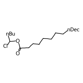 CCCCCCCCCCCCCCCCCC(=O)OC(Cl)CCCC